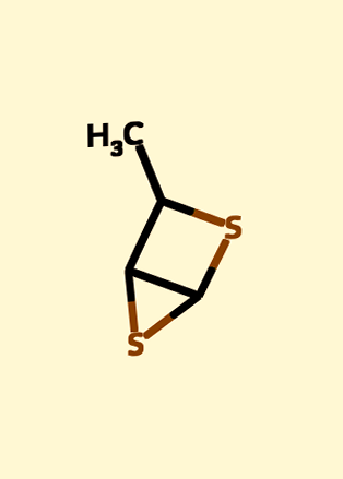 CC1SC2SC12